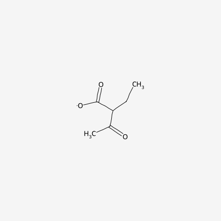 CCC(C(C)=O)C([O])=O